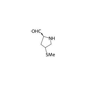 CSC1CN[C@H]([C]=O)C1